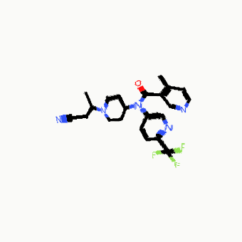 Cc1ccncc1C(=O)N(c1ccc(C(F)(F)F)nc1)C1CCN(C(C)CC#N)CC1